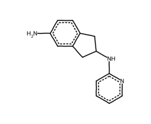 Nc1ccc2c(c1)CC(Nc1ccccn1)C2